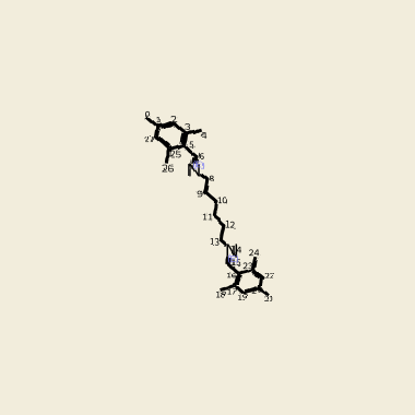 Cc1cc(C)c(/C=N/CCCCCC/N=C/c2c(C)cc(C)cc2C)c(C)c1